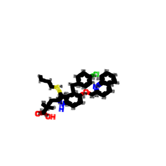 CCCCSc1c(CC(C)(C)C(=O)O)[nH]c2ccc(OCc3ccc4ccccc4n3)c(Cc3ccc(Cl)cc3)c12